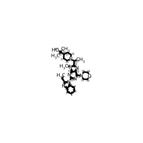 CCc1nc2ccccc2n1-c1nc(N2CCOCC2)c2nc(C(C)N3CCC(C(C)(C)O)CC3)n(C)c2n1